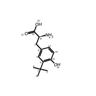 CC(C)(C)c1cc(C[C@H](N)C(=O)O)ccc1O